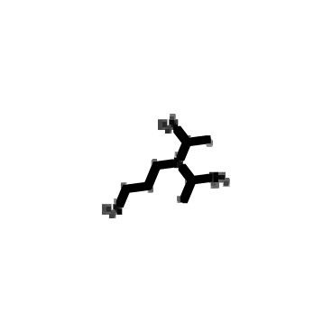 CC(N)N(CCCN)C(C)N